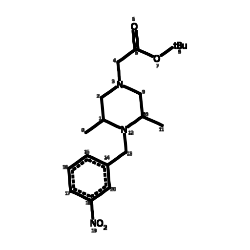 CC1CN(CC(=O)OC(C)(C)C)CC(C)N1Cc1cccc([N+](=O)[O-])c1